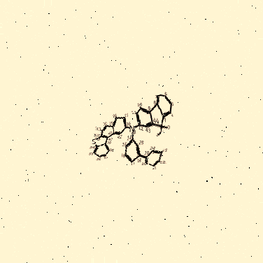 CC1(C)c2ccccc2-c2ccc(N(c3cccc(-c4ccccc4)c3)c3ccc4ccc5sc6ccccc6c5c4c3)cc21